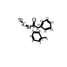 Cc1ccccc1.O=C(Cc1ccccc1)N=C=S